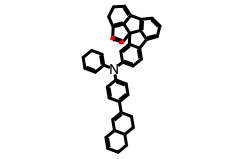 C1=CC(N(c2ccc(C3=CC4C=CCCC4CC3)cc2)c2ccc3c(c2)C24C5=C(CCC=C5c5cccc-3c52)c2ccccc24)=CCC1